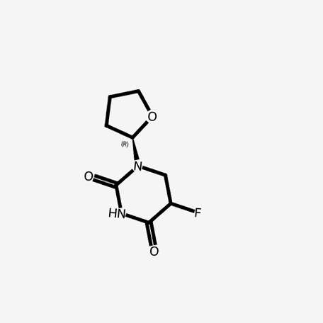 O=C1NC(=O)N([C@H]2CCCO2)CC1F